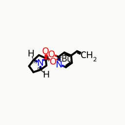 C=Cc1ccnc(O[C@H]2C[C@H]3CC[C@@H](C2)N3C(=O)OC(C)(C)C)c1